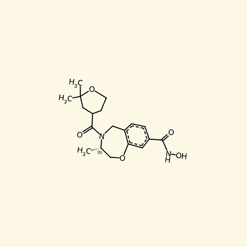 C[C@H]1COc2cc(C(=O)NO)ccc2CN1C(=O)C1CCOC(C)(C)C1